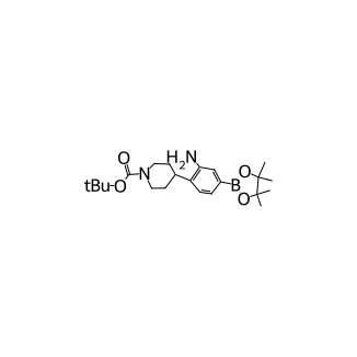 CC(C)(C)OC(=O)N1CCC(c2ccc(B3OC(C)(C)C(C)(C)O3)cc2N)CC1